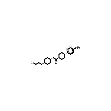 CCCc1ccc([C@H]2CC[C@H](C(=O)C[C@H]3CC[C@H](CCCCl)CC3)CC2)nn1